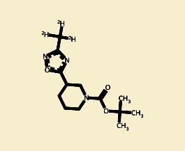 [2H]C([2H])([2H])c1noc(C2CCCN(C(=O)OC(C)(C)C)C2)n1